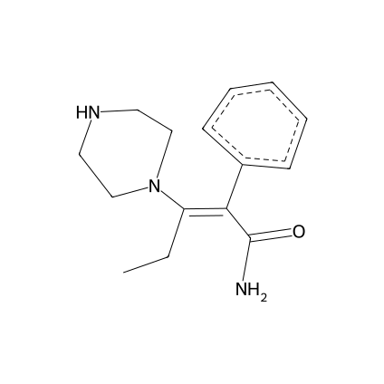 CCC(=C(C(N)=O)c1ccccc1)N1CCNCC1